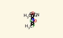 Cc1cc(F)c(C(=O)N2CCC3(C=C(C#N)C(=O)C(C)(C)C3)C2)cc1F